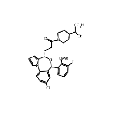 CCC(C(=O)O)C1CCN(C(=O)CC[C@@H]2O[C@@H](c3cccc(F)c3OC)c3cc(Cl)ccc3-n3cccc32)CC1